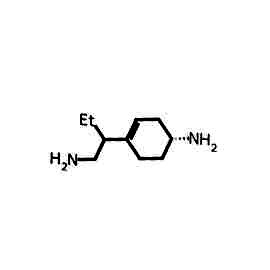 CCC(CN)C1=CC[C@H](N)CC1